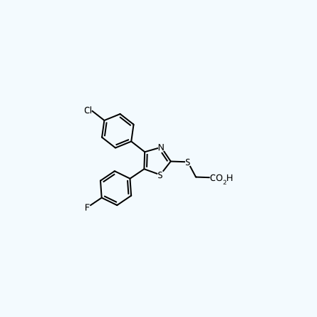 O=C(O)CSc1nc(-c2ccc(Cl)cc2)c(-c2ccc(F)cc2)s1